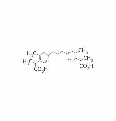 Cc1cc(CCCc2ccc(C(C)C(=O)O)c(C)c2)ccc1C(C)C(=O)O